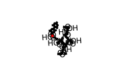 CCOP(=O)(O)CNC(=O)CN1CCN(CP(=O)(O)O)CCN(CC(=O)NCP(=O)(OCC)OCC)CCN([C@H](CCCOP(=O)(O)Oc2cc(C)c(-c3c(C)cc(C)cc3C)cc2C)C(=O)O)CC1